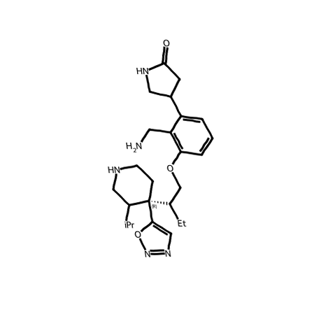 CCC(COc1cccc(C2CNC(=O)C2)c1CN)[C@@]1(c2cnno2)CCNCC1C(C)C